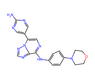 Nc1ncc(-c2cnc(Nc3ccc(N4CCOCC4)cc3)c3ncnn23)cn1